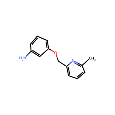 Cc1cccc(COc2cccc(N)c2)n1